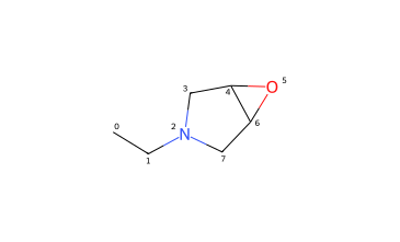 CCN1CC2OC2C1